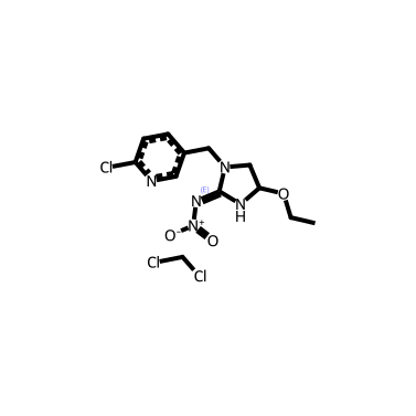 CCOC1CN(Cc2ccc(Cl)nc2)/C(=N/[N+](=O)[O-])N1.ClCCl